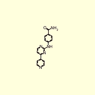 NC(=O)c1ccc(Nc2nccc(-c3ccncc3)n2)cc1